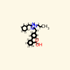 CCCn1nc(CC2CCCCC2)nc1Cc1ccc(-c2ccccc2C(=O)O)cc1